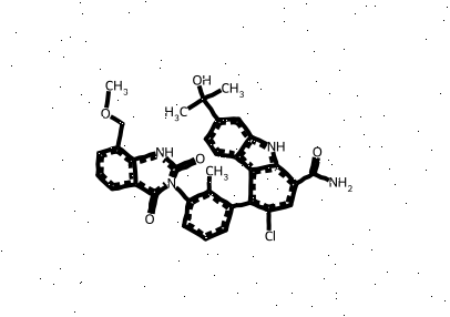 COCc1cccc2c(=O)n(-c3cccc(-c4c(Cl)cc(C(N)=O)c5[nH]c6cc(C(C)(C)O)ccc6c45)c3C)c(=O)[nH]c12